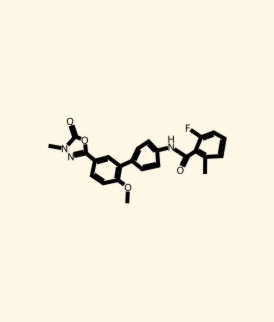 COc1ccc(-c2nn(C)c(=O)o2)cc1-c1ccc(NC(=O)c2c(C)cccc2F)cc1